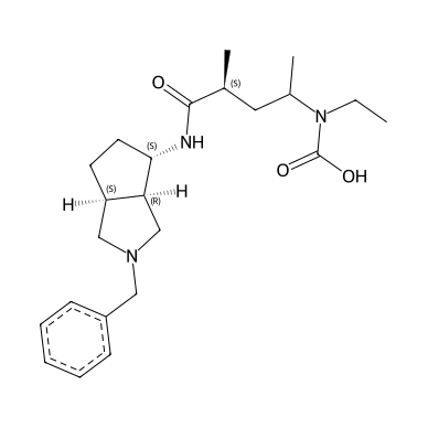 CCN(C(=O)O)C(C)C[C@H](C)C(=O)N[C@H]1CC[C@@H]2CN(Cc3ccccc3)C[C@@H]21